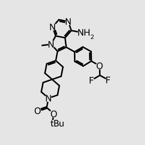 Cn1c(C2=CCC3(CC2)CCN(C(=O)OC(C)(C)C)CC3)c(-c2ccc(OC(F)F)cc2)c2c(N)ncnc21